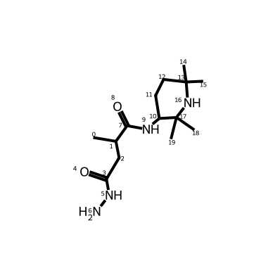 CC(CC(=O)NN)C(=O)NC1CCC(C)(C)NC1(C)C